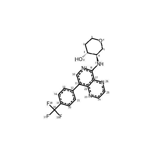 O[C@@H]1CCOC[C@H]1Nc1ncc(-c2ccc(C(F)(F)F)cc2)c2nccnc12